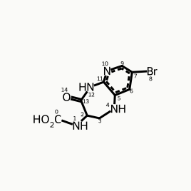 O=C(O)NC1CNc2cc(Br)cnc2NC1=O